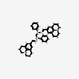 C(=N\N(CN(/N=C/c1cc2c3c(c1)CCCN3CCC2)c1ccccc1)c1ccccc1)/c1cc2c3c(c1)CCCN3CCC2